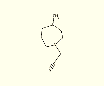 CN1CCCN(CC#N)CC1